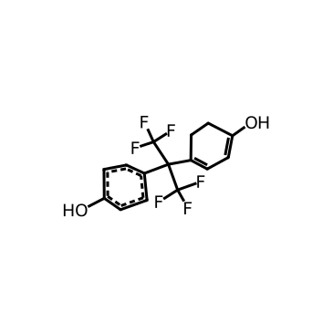 OC1=CC=C(C(c2ccc(O)cc2)(C(F)(F)F)C(F)(F)F)CC1